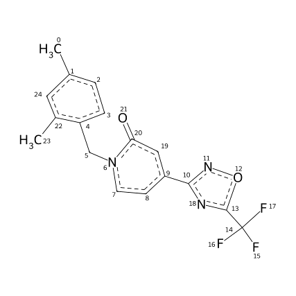 Cc1ccc(Cn2ccc(-c3noc(C(F)(F)F)n3)cc2=O)c(C)c1